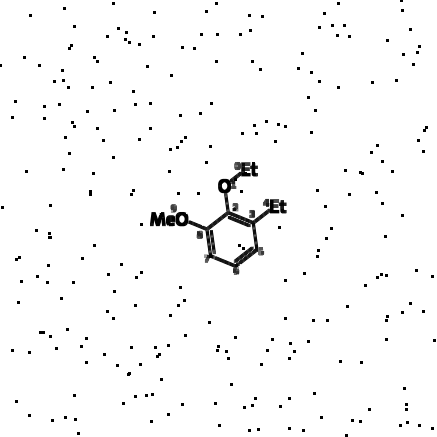 CCOc1c(CC)cccc1OC